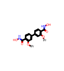 CC(C)Oc1cc(-c2ccc(C(=O)NO)c(OC(C)C)c2)ccc1C(=O)NO